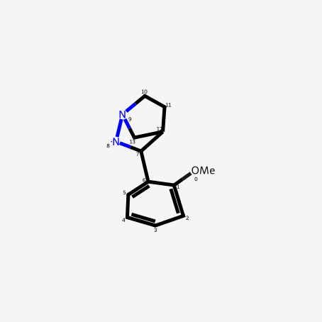 COc1ccccc1C1[N]N2CCC1C2